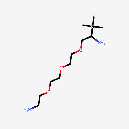 C[Si](C)(C)C(N)COCCOCCOCCN